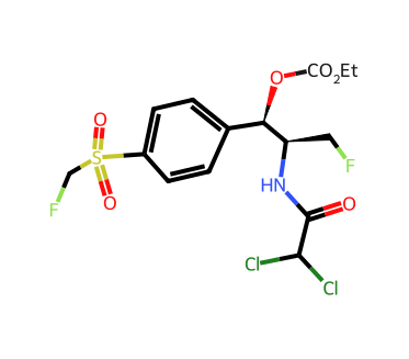 CCOC(=O)O[C@H](c1ccc(S(=O)(=O)CF)cc1)[C@@H](CF)NC(=O)C(Cl)Cl